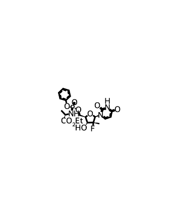 CCOC(=O)[C@H](C)NP(=O)(OC[C@H]1O[C@@H](n2ccc(=O)[nH]c2=O)[C@](C)(F)[C@@H]1O)Oc1ccccc1